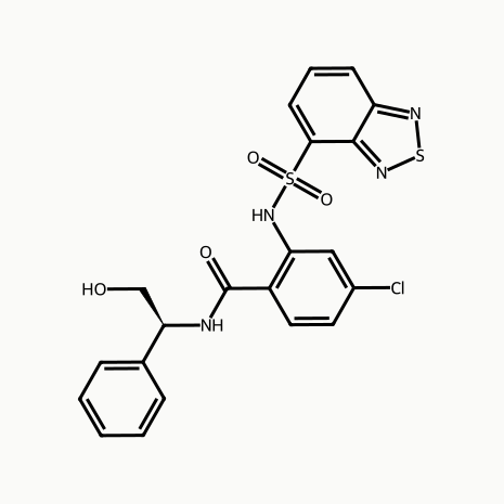 O=C(N[C@H](CO)c1ccccc1)c1ccc(Cl)cc1NS(=O)(=O)c1cccc2nsnc12